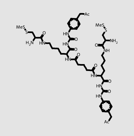 CSSCC(N)C(=O)NCCCCC(NC(=O)CCCC(=O)NC(CCCCNC(=O)C(N)CSSC)C(=O)NC(=O)Nc1ccc(CC(C)=O)cc1)C(=O)NC(=O)Nc1ccc(CC(C)=O)cc1